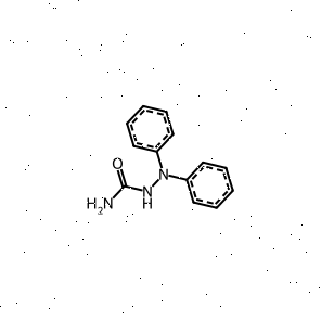 NC(=O)NN(c1ccccc1)c1ccccc1